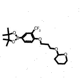 CC1(C)OB(c2ccc(OCCCOC3CCCCO3)c(C(F)(F)F)c2)OC1(C)C